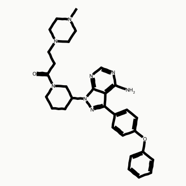 CN1CCN(CCC(=O)N2CCCC(n3nc(-c4ccc(Oc5ccccc5)cc4)c4c(N)ncnc43)C2)CC1